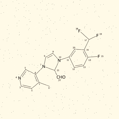 Cc1ccncc1N1C=CN(c2ccc(F)c(C(F)F)c2)C1C=O